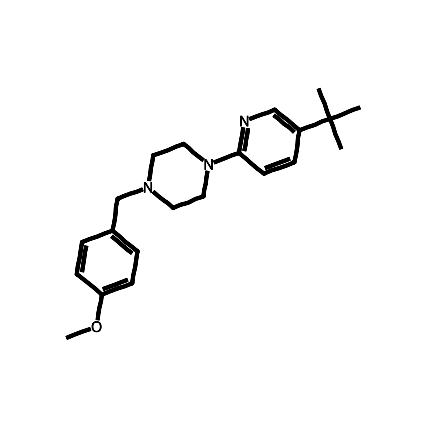 COc1ccc(CN2CCN(c3ccc(C(C)(C)C)cn3)CC2)cc1